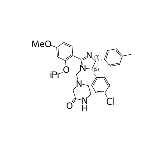 COc1ccc(C2=N[C@H](c3ccc(C)cc3)[C@H](c3ccc(Cl)cc3)N2CN2CCNC(=O)C2)c(OC(C)C)c1